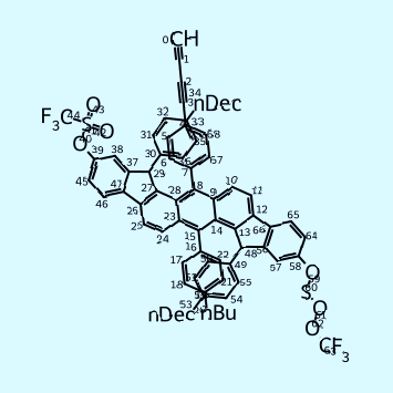 C#CC#Cc1ccc(-c2c3ccc4c(c3c(-c3ccc(CCCC)cc3)c3ccc5c(c23)C(c2ccc(CCCCCCCCCC)cc2)c2cc(OS(=O)(=O)C(F)(F)F)ccc2-5)C(c2ccc(CCCCCCCCCC)cc2)c2cc(OSOOC(F)(F)F)ccc2-4)cc1